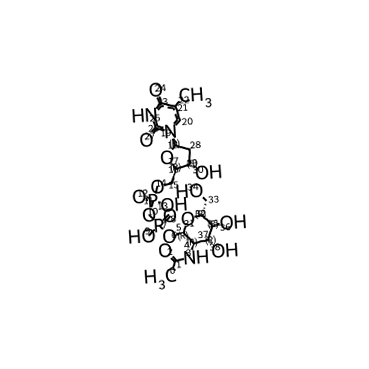 CC(=O)N[C@H]1[C@@H](OP(=O)(O)OP(=O)(O)OC[C@H]2O[C@@H](n3cc(C)c(=O)[nH]c3=O)C[C@@H]2O)O[C@H](CO)[C@@H](O)[C@@H]1O